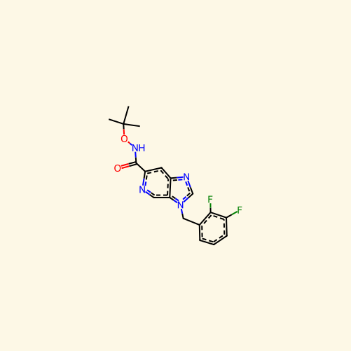 CC(C)(C)ONC(=O)c1cc2ncn(Cc3cccc(F)c3F)c2cn1